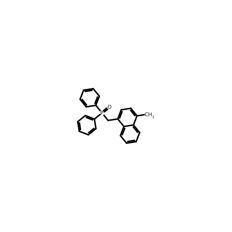 Cc1ccc(CP(=O)(c2ccccc2)c2ccccc2)c2ccccc12